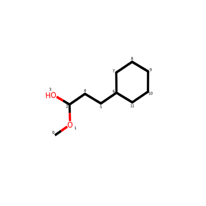 COC(O)CCC1CCCCC1